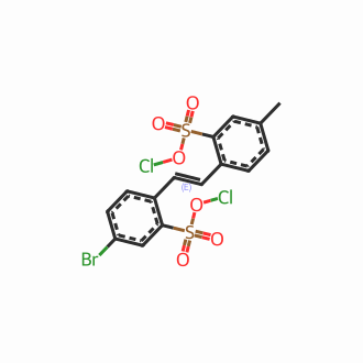 Cc1ccc(/C=C/c2ccc(Br)cc2S(=O)(=O)OCl)c(S(=O)(=O)OCl)c1